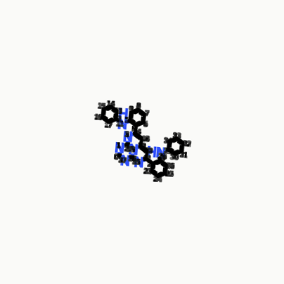 C1=NC2=NC(c3ccccc3Nc3ccccc3)=CC3=CC(c4ccccc4Nc4ccccc4)=NC(=N1)N32